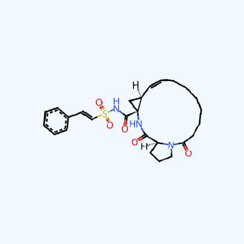 O=C1N[C@]2(C(=O)NS(=O)(=O)/C=C/c3ccccc3)C[C@H]2/C=C\CCCCCCC(=O)N2CCC[C@@H]12